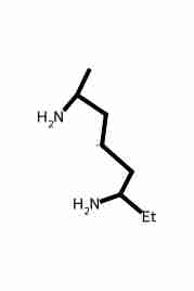 CCC(N)C[CH]CC(C)N